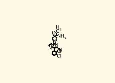 CC1OCC2(CCN(c3nc(C#N)c(-c4cccc(Cl)c4Cl)c4nccn34)CC2)C1N